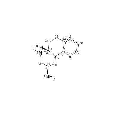 CN1C[C@H](N)C=C2c3ccccc3CC[C@H]21